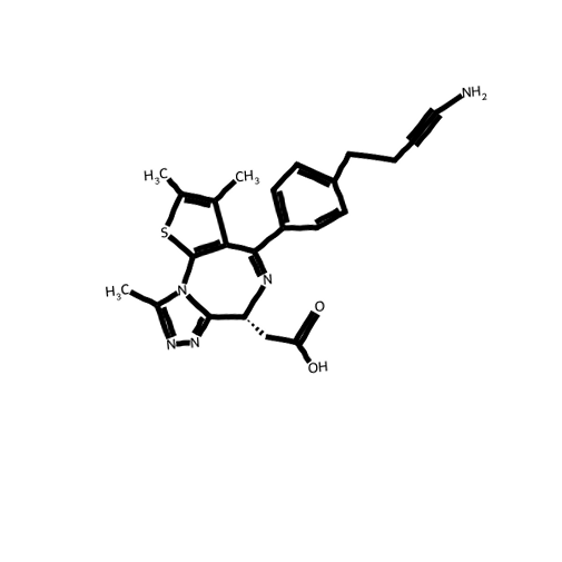 Cc1sc2c(c1C)C(c1ccc(CCC#CN)cc1)=N[C@H](CC(=O)O)c1nnc(C)n1-2